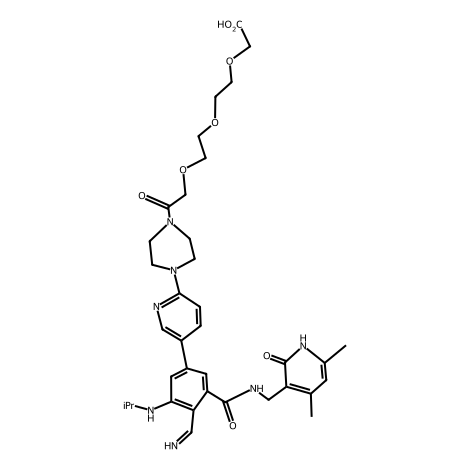 Cc1cc(C)c(CNC(=O)c2cc(-c3ccc(N4CCN(C(=O)COCCOCCOCC(=O)O)CC4)nc3)cc(NC(C)C)c2C=N)c(=O)[nH]1